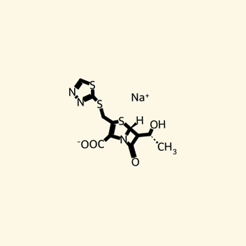 C[C@@H](O)C1C(=O)N2C(C(=O)[O-])=C(CSc3nncs3)S[C@H]12.[Na+]